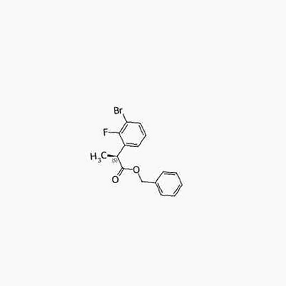 C[C@H](C(=O)OCc1ccccc1)c1cccc(Br)c1F